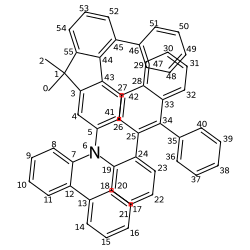 CC1(C)c2cc(N(c3ccccc3-c3ccccc3)c3ccccc3-c3ccc4ccccc4c3-c3ccccc3)ccc2-c2c(-c3ccccc3)cccc21